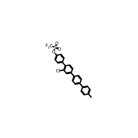 Cc1ccc(-c2ccc(-c3ccc(-c4ccc(OS(=O)(=O)C(F)(F)F)cc4)c(Cl)c3)cc2)cc1